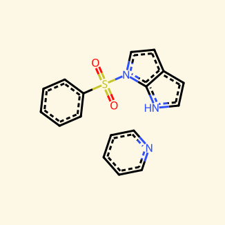 O=S(=O)(c1ccccc1)n1ccc2cc[nH]c21.c1ccncc1